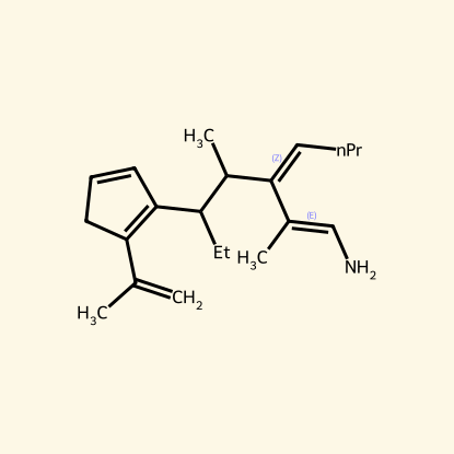 C=C(C)C1=C(C(CC)C(C)C(=C/CCC)/C(C)=C/N)C=CC1